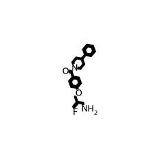 NC/C(=C\F)COc1ccc(C(=O)N2CCC(c3ccccc3)CC2)cc1